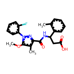 COc1c(C)c(C(=O)NC(CC(=O)O)c2ccccc2C)nn1-c1ccccc1F